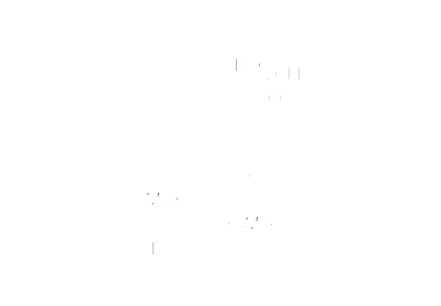 COc1cc(CC(=O)c2ccc3c(c2)CCC(C)(C)O3)cc(OC)c1CCCF